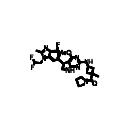 COc1nc(NC2CC(C)(C(=O)N3CCCC3)C2)nc2[nH]cc(-c3cc(F)c4nc(C)n(CC(F)F)c4c3)c12